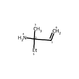 C=CC(C)(N)CC